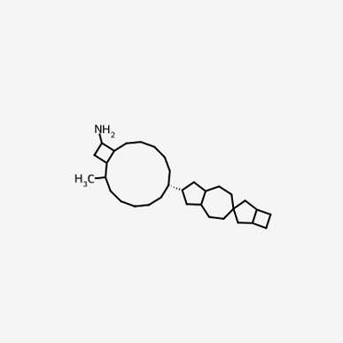 CC1CCCCC[C@@H](C2CC3CCC4(CCC3C2)CC2CCC2C4)CCCCCC2C(N)CC12